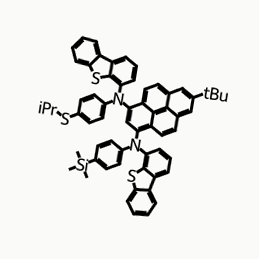 CC(C)Sc1ccc(N(c2cc(N(c3ccc([Si](C)(C)C)cc3)c3cccc4c3sc3ccccc34)c3ccc4cc(C(C)(C)C)cc5ccc2c3c54)c2cccc3c2sc2ccccc23)cc1